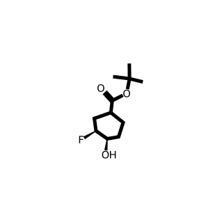 CC(C)(C)OC(=O)C1CC[C@@H](O)[C@@H](F)C1